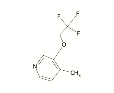 Cc1c[c]ncc1OCC(F)(F)F